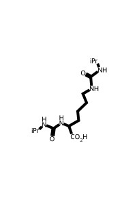 CC(C)NC(=O)NCCCCC(NC(=O)NC(C)C)C(=O)O